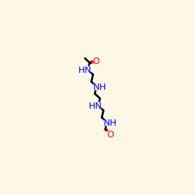 CC(=O)NCCNCCNCCNC=O